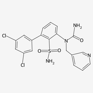 NC(=O)N(Cc1cccnc1)c1cccc(-c2cc(Cl)cc(Cl)c2)c1S(N)(=O)=O